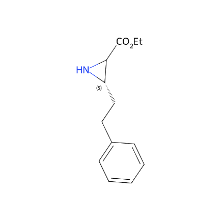 CCOC(=O)C1N[C@H]1CCc1ccccc1